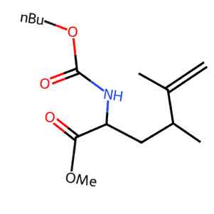 C=C(C)C(C)CC(NC(=O)OCCCC)C(=O)OC